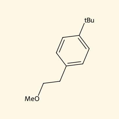 [CH2]OCCc1ccc(C(C)(C)C)cc1